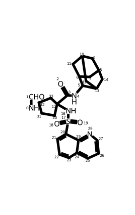 NC=O.O=C(NC1C2CC3CC(C2)CC1C3)C1(NS(=O)(=O)c2cccc3cccnc23)CCCC1